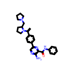 C=C(c1ccc(-c2cnc(N)c(C(=O)Nc3ccccc3)n2)cc1)N1CCCC1CN1CCCC1